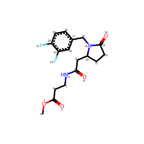 COC(=O)CCNC(=O)CC1CCC(=O)N1Cc1ccc(F)c(F)c1